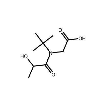 CC(O)C(=O)N(CC(=O)O)C(C)(C)C